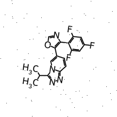 CC(C)c1nnc2ccc(-c3ocnc3-c3c(F)cc(F)cc3F)cn12